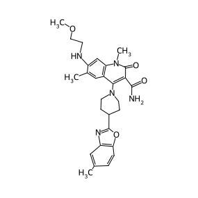 COCCNc1cc2c(cc1C)c(N1CCC(c3nc4cc(C)ccc4o3)CC1)c(C(N)=O)c(=O)n2C